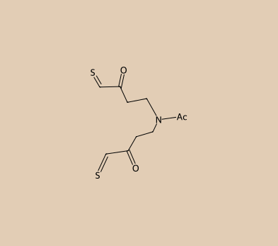 CC(=O)N(CCC(=O)C=S)CCC(=O)C=S